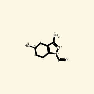 Nc1nn(C=O)c2c1C[C@H](O)CC2